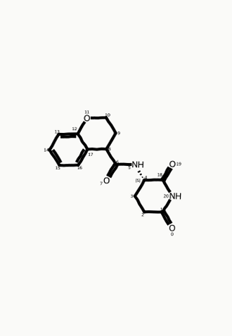 O=C1CC[C@H](NC(=O)C2CCOc3ccccc32)C(=O)N1